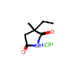 CCC1(C)CC(=O)NC1=O.Cl